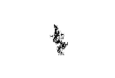 Cc1ncsc1-c1ccc(CNC(=O)CN(CC(C)O)C(=O)C(NC(=O)CC(C)(C)COCC(C)(C)CN2CCN(C(=O)c3ccc(Nc4nc(-c5cccc(NC(=O)c6ccc(C(C)(C)C)cc6)c5C)cn(C)c4=O)cc3)CC2)C(C)(C)C)cc1